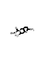 CC1Cc2nc(N)ccc2CN1C(=O)OC(C)(C)C